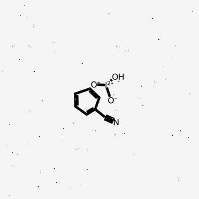 N#Cc1ccccc1.[O-][I+2]([O-])O